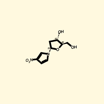 O=[N+]([O-])c1ccn([C@@H]2C[C@H](O)[C@@H](CO)O2)c1